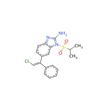 CC(C)S(=O)(=O)n1c(N)nc2ccc(/C(=C\Cl)c3ccccc3)cc21